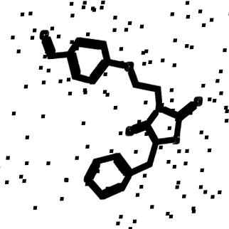 O=Cc1ccc(OCCN2C(=O)SC(Cc3ccccc3)C2=O)cc1